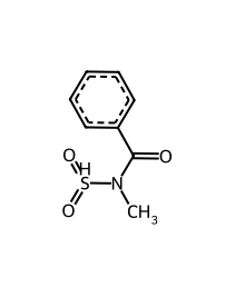 CN(C(=O)c1ccccc1)[SH](=O)=O